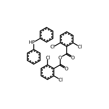 O=C(OC(=O)c1c(Cl)cccc1Cl)c1c(Cl)cccc1Cl.c1ccc(Pc2ccccc2)cc1